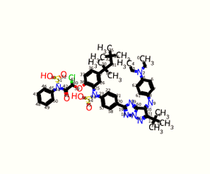 CCN(CC)c1ccc(/N=C2/C(C(C)(C)C)=Nn3nc(-c4ccc(N(c5cc(C(C)(C)CC(C)(C)C)ccc5OC(Cl)C(=O)N(c5ccccc5)S(=O)O)S(=O)O)cc4)nc32)cc1